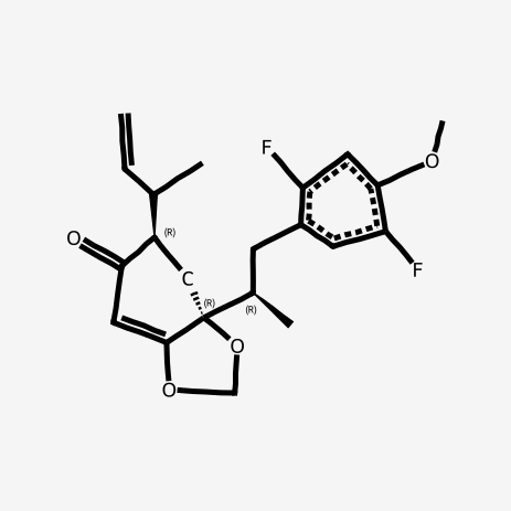 C=CC(C)[C@H]1C[C@]2([C@H](C)Cc3cc(F)c(OC)cc3F)OCOC2=CC1=O